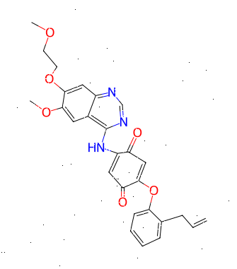 C=CCc1ccccc1OC1=CC(=O)C(Nc2ncnc3cc(OCCOC)c(OC)cc23)=CC1=O